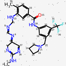 CNC1=NC/C(=N\C=N/CNc2cc(C(=O)Nc3cc(CN4CCCC4)cc(C(F)(F)F)c3)ccc2C)C=N1